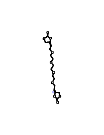 O=C1OCC(=CCOCCOCCOCCOC/C=C2\COC(=O)O2)O1